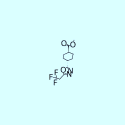 COC(=O)[C@H]1CC[C@H](c2nnc(CC(F)(F)F)o2)CC1